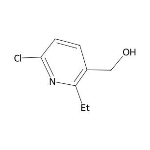 CCc1nc(Cl)ccc1CO